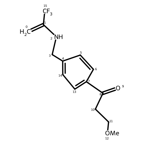 C=C(NCc1ccc(C(=O)CCOC)cc1)C(F)(F)F